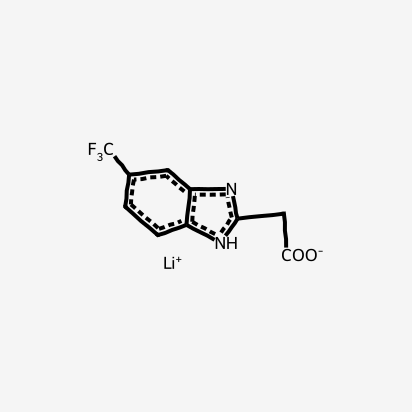 O=C([O-])Cc1nc2cc(C(F)(F)F)ccc2[nH]1.[Li+]